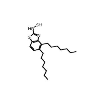 CCCCCCCc1ccc2sc(NS)nc2c1CCCCCCC